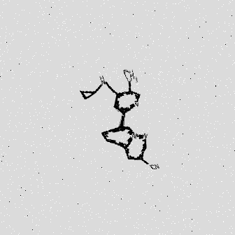 Cc1cnc(-c2ccc3cc(C#N)cnn23)cc1NC1CC1